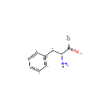 NC(Cc1ccccc1)C(=O)Cl